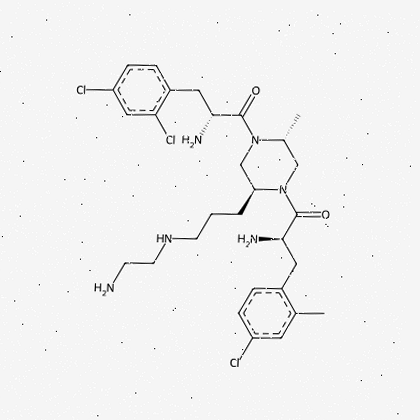 Cc1cc(Cl)ccc1C[C@@H](N)C(=O)N1C[C@@H](C)N(C(=O)[C@H](N)Cc2ccc(Cl)cc2Cl)C[C@@H]1CCCNCCN